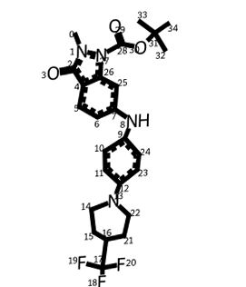 Cn1c(=O)c2ccc(Nc3ccc(N4CCC(C(F)(F)F)CC4)cc3)cc2n1C(=O)OC(C)(C)C